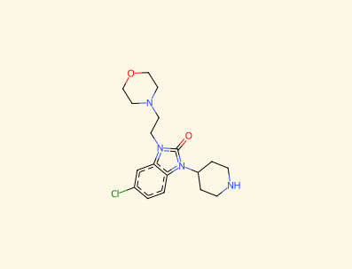 O=c1n(CCN2CCOCC2)c2cc(Cl)ccc2n1C1CCNCC1